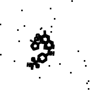 CNS(=O)(=O)N1CCC(Nc2ncc3cc(C)c(=O)n([C@@H]4CCC[C@@]4(C)O)c3n2)CC1